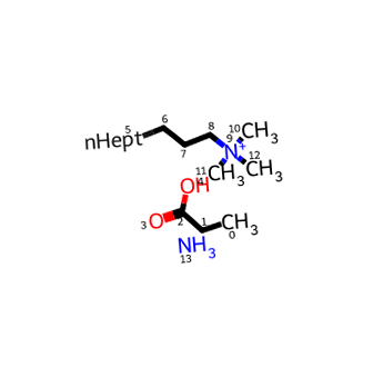 CCC(=O)O.CCCCCCCCCC[N+](C)(C)C.N